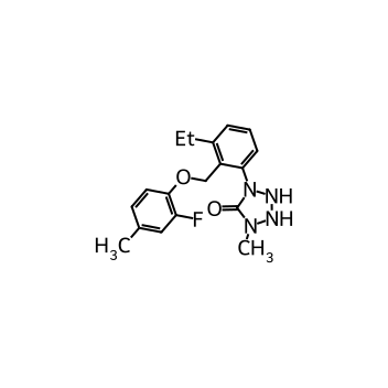 CCc1cccc(N2NNN(C)C2=O)c1COc1ccc(C)cc1F